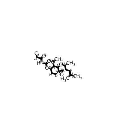 COC1C(O[C@@H](C)CC=C(C)C)[C@]2(CC[C@H]1OC(=O)NC(=O)CCl)CO2